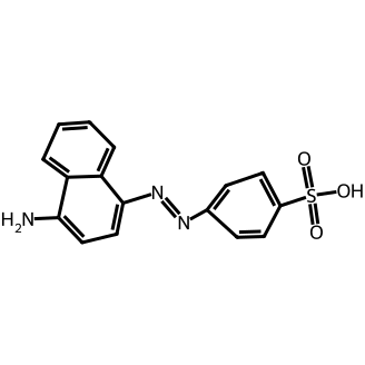 Nc1ccc(N=Nc2ccc(S(=O)(=O)O)cc2)c2ccccc12